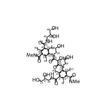 CNC(=O)c1c(I)c(C(=O)NCC(O)CO)c(I)c(N(CCO)C(=O)C(O)C(=O)N(CCO)c2c(I)c(C(=O)NC)c(I)c(C(=O)NCC(O)CO)c2I)c1I